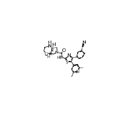 Cc1cc(-c2sc(NC(=O)N3C[C@@H]4NCCO[C@H]4C3)nc2-c2cccc(C#N)c2)cc(C)n1